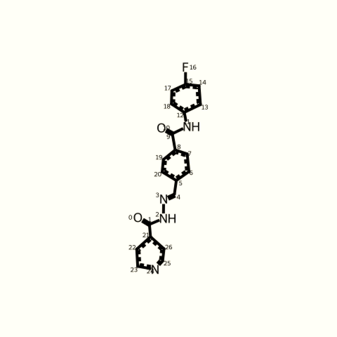 O=C(NN=Cc1ccc(C(=O)Nc2ccc(F)cc2)cc1)c1ccncc1